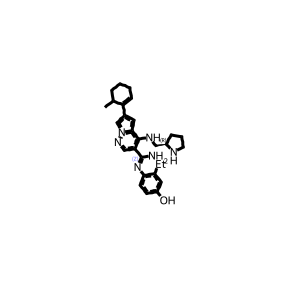 CCc1cc(O)ccc1/N=C(\N)c1cnn2cc(C3=CCCCC3C)cc2c1NC[C@H]1CCCN1